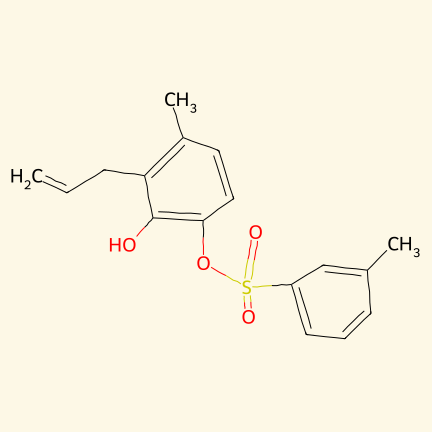 C=CCc1c(C)ccc(OS(=O)(=O)c2cccc(C)c2)c1O